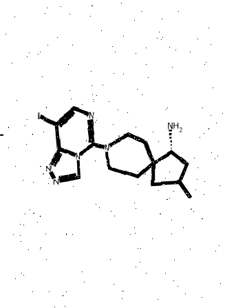 CC1C[C@@H](N)C2(CCN(c3ncc(I)c4nncn34)CC2)C1